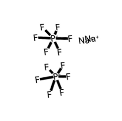 F[P-](F)(F)(F)(F)F.F[P-](F)(F)(F)(F)F.[Na+].[Na+]